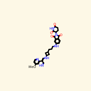 COc1ccnc(/C(C=N)=C/NC2CC(CCCNc3ccc4c(c3)C(=O)N(C3CCC(=O)NC3=O)C4=O)C2)c1